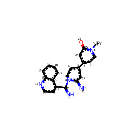 CC(C)n1ccc(-c2ccn(C(=N)c3ccnc4ccccc34)c(=N)c2)cc1=O